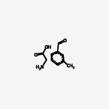 Cc1cccc(C=O)c1.NCC(=O)O